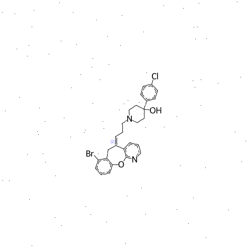 OC1(c2ccc(Cl)cc2)CCN(CC/C=C2/Cc3c(Br)cccc3Oc3ncccc32)CC1